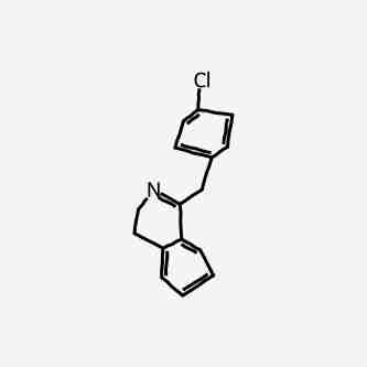 Clc1ccc(CC2=NCCc3ccccc32)cc1